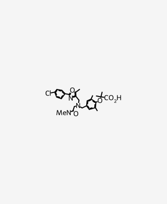 CNC(=O)CN(Cc1cc(C)c(OC(C)(C)C(=O)O)c(C)c1)Cc1nc(-c2ccc(Cl)cc2)oc1C